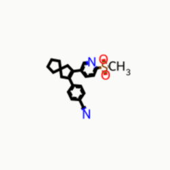 CS(=O)(=O)c1ccc(C2=C(c3ccc(C#N)cc3)CC3(CCCC3)C2)cn1